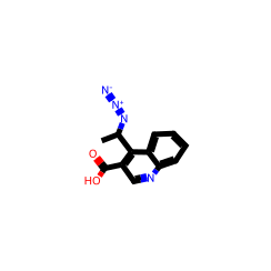 CC(N=[N+]=[N-])c1c(C(=O)O)cnc2ccccc12